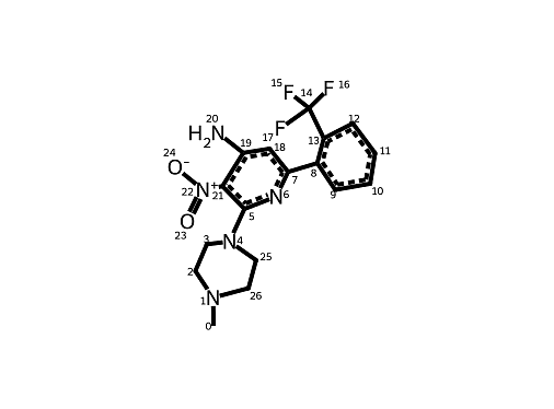 CN1CCN(c2nc(-c3ccccc3C(F)(F)F)cc(N)c2[N+](=O)[O-])CC1